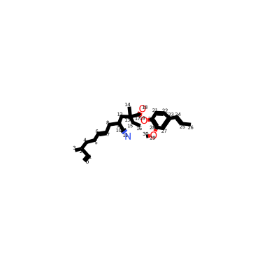 C=CC(C)CCC=CCC(C#N)CC(C)(CC)C(=O)Oc1ccc(C=CC)cc1OC